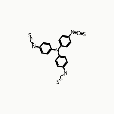 S=C=Nc1ccc(N(c2ccc(N=C=S)cc2)c2ccc(N=C=S)cc2)cc1